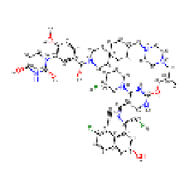 C#Cc1c(F)ccc2cc(O)cc(-c3ncc4c(N5CCC[C@@H](F)C5)nc(OC[C@H](C)CN5CCN(CC6CCC7(CC6)CCN(C(=O)c6ccc(OC)c(N8CCC(=O)NC8=O)c6)CC7)CC5)nc4c3F)c12